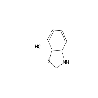 C1=CC2NCSC2C=C1.Cl